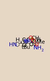 COc1c(C(N)=O)cc(C(C)(C)C)c(-c2c(C(=O)O)n(C)c3c(CC4CCCNCC4)cccc23)c1NS(C)(=O)=O